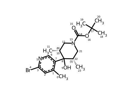 Cc1cc(Br)ncc1C1(O)[C@H](C)CN(C(=O)OC(C)(C)C)C[C@@H]1C